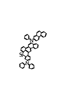 C[Si]1(C)c2cc(N(c3ccccc3)c3ccccc3)ccc2-c2cc3c4ccccc4c(N(c4ccccc4)c4ccc5c(ccc6ccccc65)c4)cc3c3cccc1c23